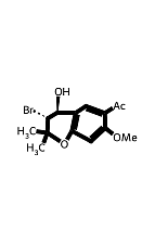 COc1cc2c(cc1C(C)=O)[C@H](O)[C@@H](Br)C(C)(C)O2